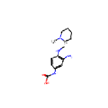 CN1CCCC[C@@H]1CNc1ccc(NC(=O)O)cc1N